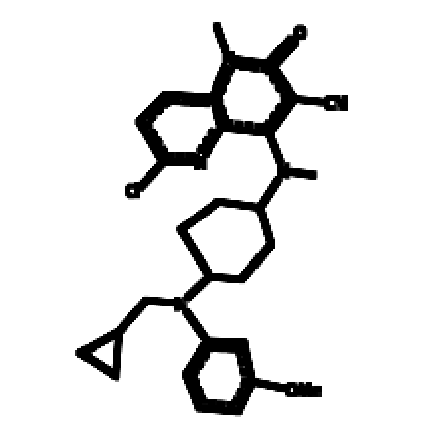 COc1cccc(N(CC2CC2)C2CCC(N(C)c3c(C#N)c(=O)n(C)c4ccc(Cl)nc34)CC2)c1